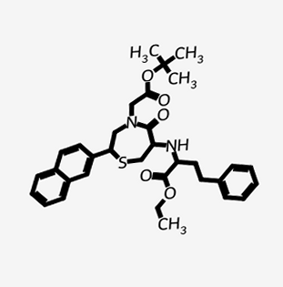 CCOC(=O)C(CCc1ccccc1)NC1CSC(c2ccc3ccccc3c2)CN(CC(=O)OC(C)(C)C)C1=O